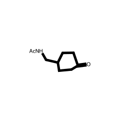 CC(=O)NCC1CCC(=O)CC1